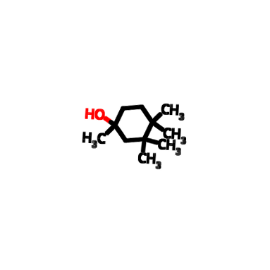 CC1(O)CCC(C)(C)C(C)(C)C1